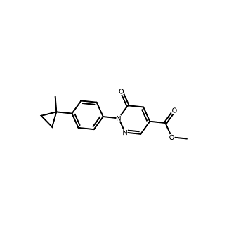 COC(=O)c1cnn(-c2ccc(C3(C)CC3)cc2)c(=O)c1